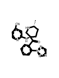 C[C@@H]1CC[C@](Nc2cc(C#N)ccn2)(C(=O)c2ccccc2-n2ncnn2)CN1